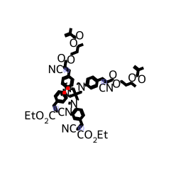 C=C(C)C(=O)OC(C)CCOC(=O)/C(C#N)=C/c1ccc(N(C)CC(CN(C)c2ccc(/C=C(\C#N)C(=O)OCC)cc2)(CN(C)c2ccc(/C=C(\C#N)C(=O)OCC)cc2)CN(C)c2ccc(/C=C(\C#N)C(=O)OCCC(C)OC(=O)C(=C)C)cc2)cc1